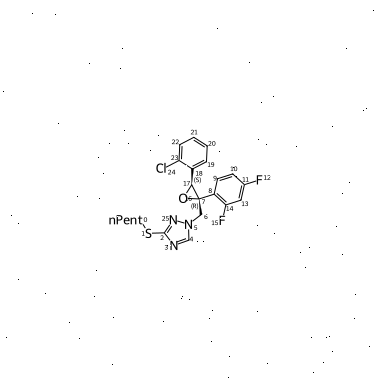 CCCCCSc1ncn(C[C@@]2(c3ccc(F)cc3F)O[C@H]2c2ccccc2Cl)n1